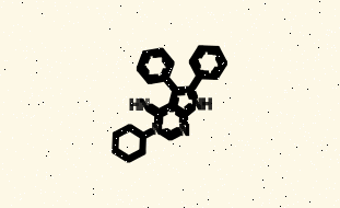 N=c1c2c(-c3ccccc3)c(-c3ccccc3)[nH]c2ncn1C1CCCCC1